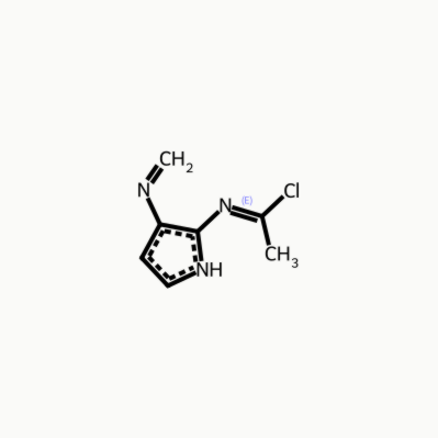 C=Nc1cc[nH]c1/N=C(\C)Cl